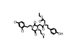 CCOC(=O)CN(CCc1ccc(O)cc1)C(=O)CC1C(=O)N(CCc2ccc(Cl)cc2Cl)CC(=O)N1CCOC